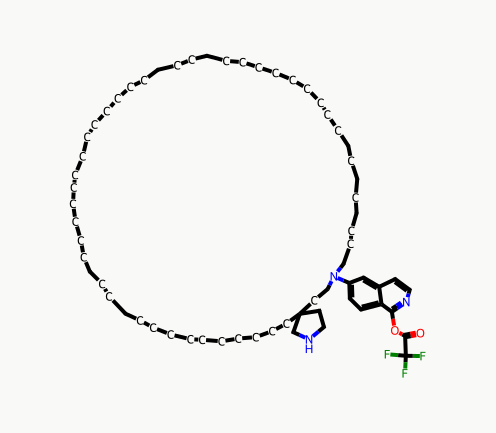 O=C(Oc1nccc2cc(N3CCCCCCCCCCCCCCCCCCCCCCCCCCCCCCCCCCCCCCCCCCCCCCCCC4(CCNC4)CC3)ccc12)C(F)(F)F